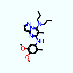 CCCN(CCC)c1c(C)c(Nc2cc(OC)c(OC)cc2C)nc2ccnn12